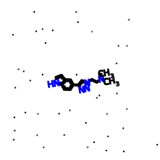 CN(C)CCn1cc(-c2ccc3[nH]ccc3c2)nn1